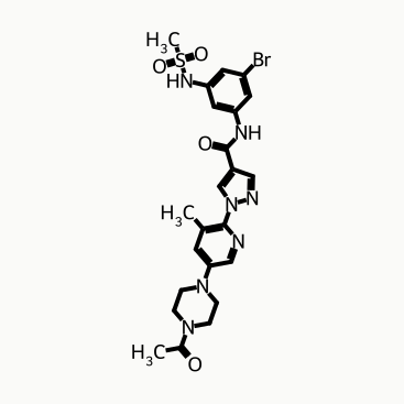 CC(=O)N1CCN(c2cnc(-n3cc(C(=O)Nc4cc(Br)cc(NS(C)(=O)=O)c4)cn3)c(C)c2)CC1